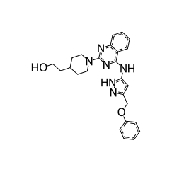 OCCC1CCN(c2nc(Nc3cc(COc4ccccc4)n[nH]3)c3ccccc3n2)CC1